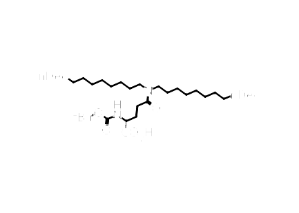 CCCCCCCCCCCCCCCCCCN(CCCCCCCCCCCCCCCCCC)C(=O)CC[C@H](NC(=O)OC(C)(C)C)C(=O)O